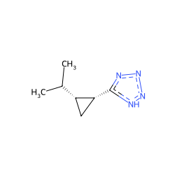 CC(C)[C@H]1C[C@H]1c1nnn[nH]1